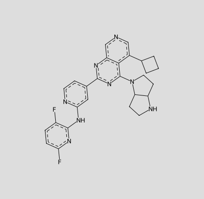 Fc1ccc(F)c(Nc2cc(-c3nc(N4CCC5NCCC54)c4c(C5CCC5)cncc4n3)ccn2)n1